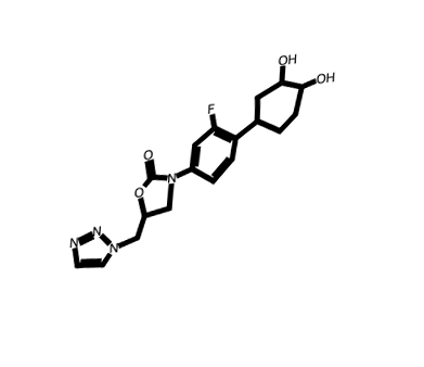 O=C1OC(Cn2ccnn2)CN1c1ccc(C2CCC(O)C(O)C2)c(F)c1